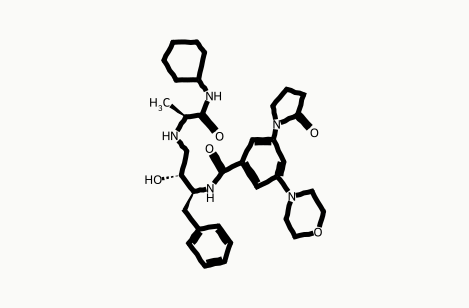 C[C@H](NC[C@@H](O)[C@H](Cc1ccccc1)NC(=O)c1cc(N2CCOCC2)cc(N2CCCC2=O)c1)C(=O)NC1CCCCC1